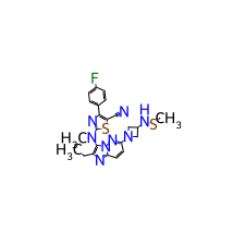 CCc1nc2ccc(N3CC(NSC)C3)nn2c1N(C)c1nc(-c2ccc(F)cc2)c(C#N)s1